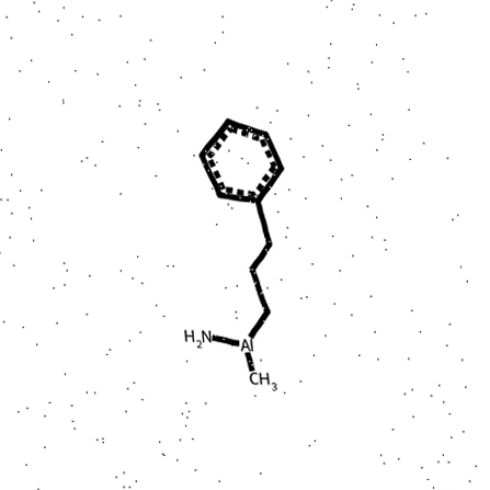 [CH3][Al]([NH2])[CH2]CCc1ccccc1